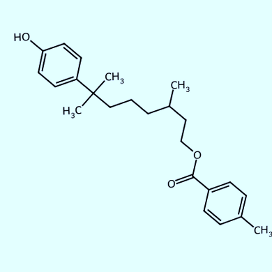 Cc1ccc(C(=O)OCCC(C)CCCC(C)(C)c2ccc(O)cc2)cc1